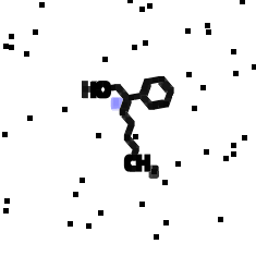 CCCC/C=C(/CO)c1ccccc1